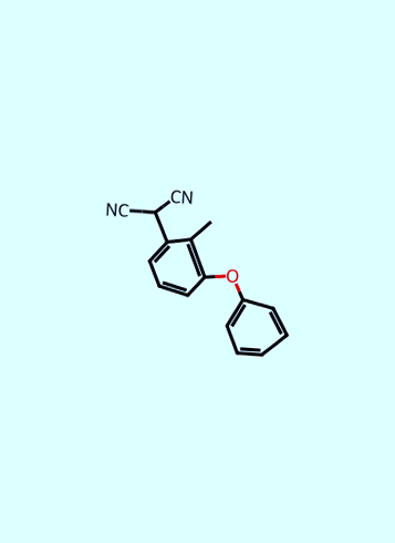 Cc1c(Oc2ccccc2)cccc1C(C#N)C#N